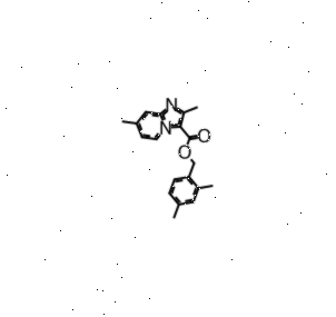 Cc1ccc(COC(=O)c2c(C)nc3cc(C)ccn23)c(C)c1